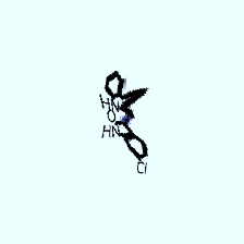 O=C1Nc2cc(Cl)ccc2/C1=C/c1cc2ccccc2[nH]1